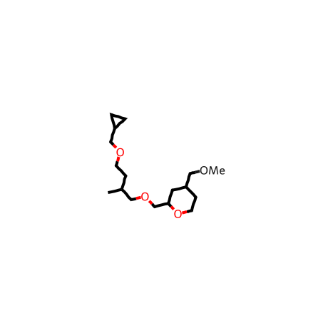 COCC1CCOC(COCC(C)CCOCC2CC2)C1